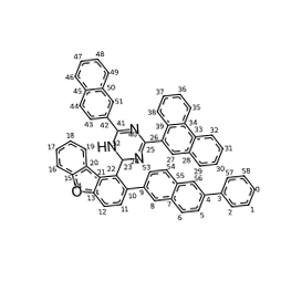 c1ccc(-c2ccc3cc(-c4ccc5oc6ccccc6c5c4C4N=C(c5cc6ccccc6c6ccccc56)N=C(c5ccc6ccccc6c5)N4)ccc3c2)cc1